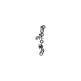 CC(C)C(C)(c1ccc(-c2cc(CN3CCOCC3)no2)cc1)c1ccc(OCc2ccccn2)cn1